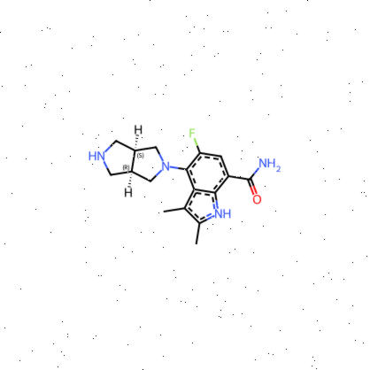 Cc1[nH]c2c(C(N)=O)cc(F)c(N3C[C@H]4CNC[C@H]4C3)c2c1C